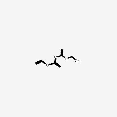 C=COC(=C)OC(=C)OCO